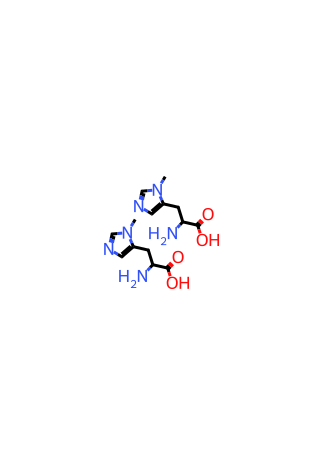 Cn1cncc1CC(N)C(=O)O.Cn1cncc1CC(N)C(=O)O